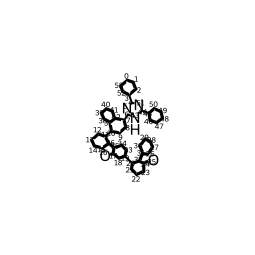 c1ccc(C2=NC(c3ccc(-c4cccc5oc6cc(-c7cccc8oc9ccccc9c78)ccc6c45)c4ccccc34)NC(c3ccccc3)=N2)cc1